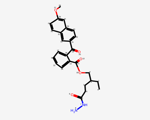 CCC(CCC(=O)NN)COC(=O)c1ccccc1C(=O)c1ccc2cc(OC)ccc2c1